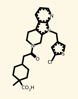 CC1(C(=O)O)CCC(CC(=O)N2CCc3c(n(Cc4csc(Cl)c4)c4ncccc34)C2)CC1